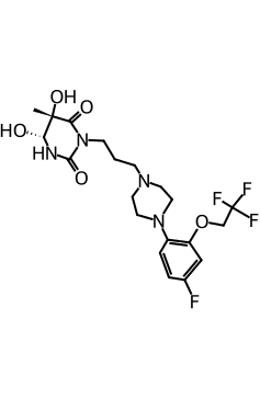 C[C@@]1(O)C(=O)N(CCCN2CCN(c3ccc(F)cc3OCC(F)(F)F)CC2)C(=O)N[C@@H]1O